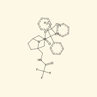 CC(C)(C)OC(=O)N1C2CCC1(CNC(=O)C(F)(F)F)CN(C(c1ccccc1)(c1ccccc1)c1ccccc1)C2